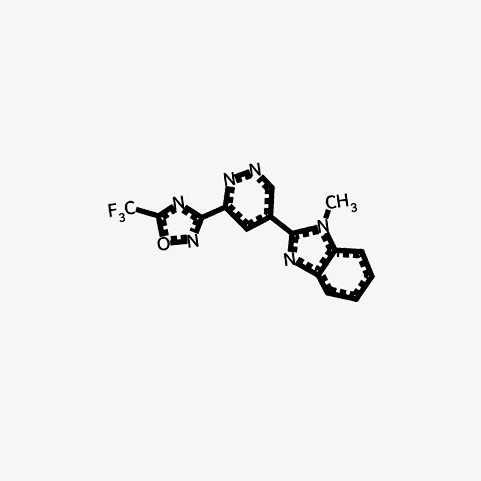 Cn1c(-c2cnnc(-c3noc(C(F)(F)F)n3)c2)nc2ccccc21